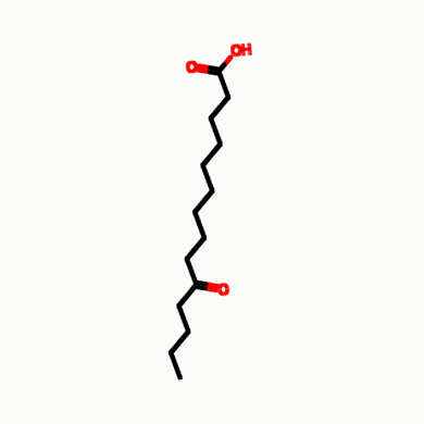 CCCCC(=O)CCCCCCCCC(=O)O